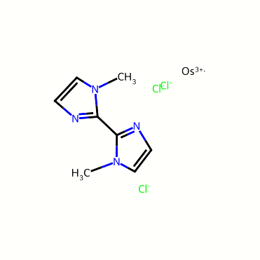 Cn1ccnc1-c1nccn1C.[Cl-].[Cl-].[Cl-].[Os+3]